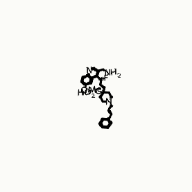 COc1ccc2ncc(CN)c([C@H](F)CCC3(C(=O)O)CCN(CCCc4ccccc4)CC3)c2c1